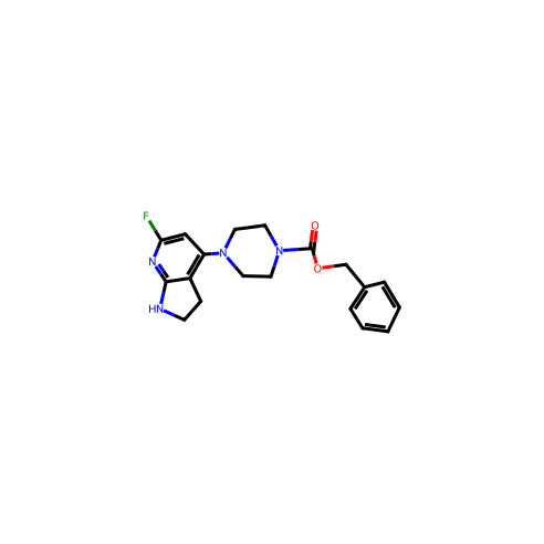 O=C(OCc1ccccc1)N1CCN(c2cc(F)nc3c2CCN3)CC1